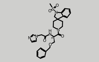 CS(=O)(=O)N1CC2(CCN(C(=O)[C@@H](COCc3ccccc3)NC(=O)Cn3ccnc3)CC2)c2ccccc21